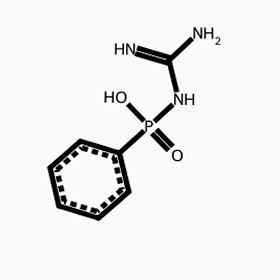 N=C(N)NP(=O)(O)c1ccccc1